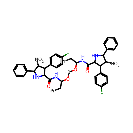 CC(C)CC(NC(=O)C1NC(c2ccccc2)C([N+](=O)[O-])C1c1ccc(F)cc1)OBOC(CC(C)C)NC(=O)C1NC(c2ccccc2)C([N+](=O)[O-])C1c1ccc(F)cc1